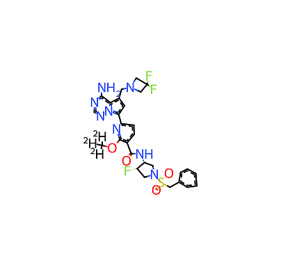 [2H]C([2H])([2H])Oc1nc(-c2cc(CN3CC(F)(F)C3)c3c(N)ncnn23)ccc1C(=O)N[C@@H]1CN(S(=O)(=O)Cc2ccccc2)C[C@@H]1F